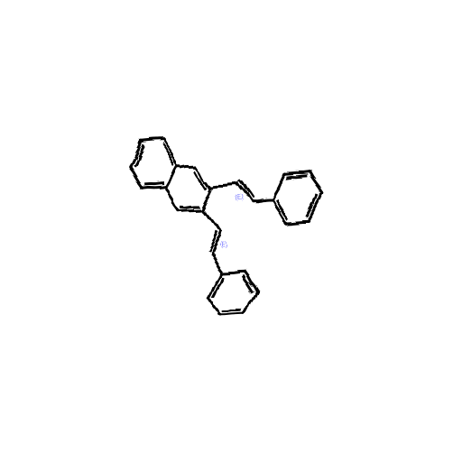 C(=C\c1cc2ccccc2cc1/C=C/c1ccccc1)/c1ccccc1